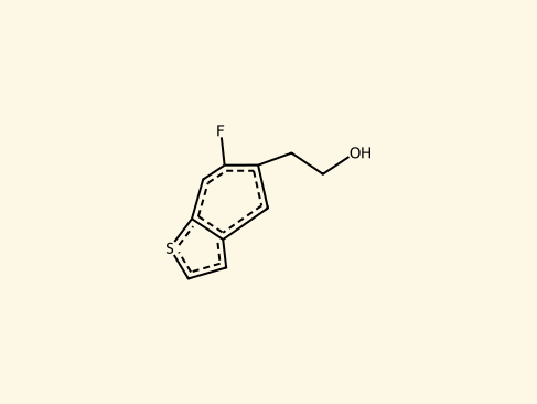 OCCc1cc2ccsc2cc1F